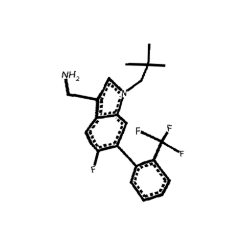 CC(C)(C)Cn1cc(CN)c2cc(F)c(-c3ccccc3C(F)(F)F)cc21